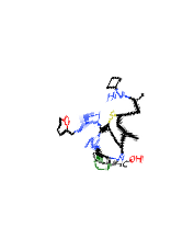 Cc1c(C[C@H](C)NC2CCC2)sc2c(NCc3ccco3)nc(Cl)nc12.O=CO